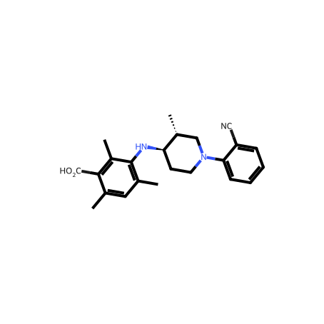 Cc1cc(C)c(C(=O)O)c(C)c1N[C@@H]1CCN(c2ccccc2C#N)C[C@H]1C